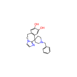 Oc1cc2c(cc1O)C1(CCN(Cc3ccccc3)CC1)c1nccn1CC2